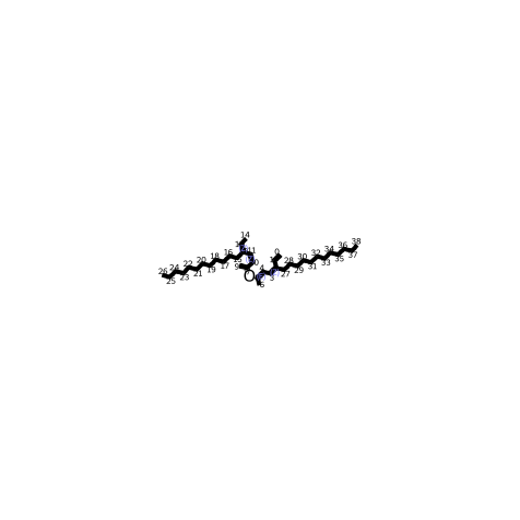 C=C/C(=C\C=C(/C)OC(=C)/C=C\C(=C/C)CCCCCCCCCCCC)CCCCCCCCCCCC